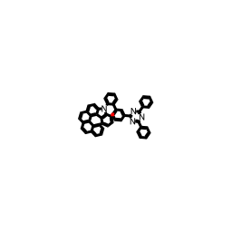 c1ccc(-c2nc(-c3ccccc3)nc(-c3cccc(-c4ccccc4-n4c5cccc6c5c5c7c(ccc8ccc9cccc-6c9c87)ccc54)c3)n2)cc1